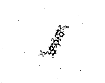 CC#CCn1c(N2CCCC(NC(=O)OC(C)(C)C)C2)nc2c1c(=O)n(Cc1ccc3c(ccc(=O)n3COCC[Si](C)(C)C)c1)c(=O)n2C